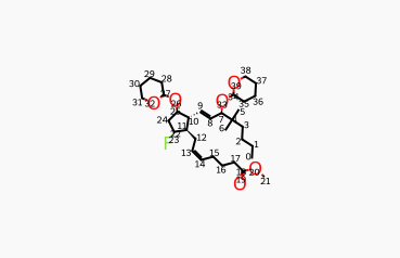 CCCCC(C)(C)[C@@H](/C=C/[C@@H]1[C@@H](C/C=C\CCCC(=O)OC)[C@@H](F)C[C@H]1OC1CCCCO1)OC1CCCCO1